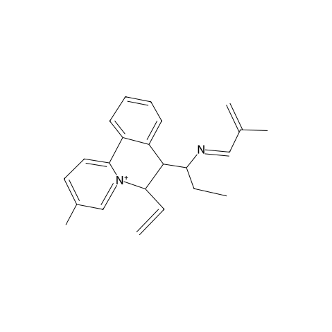 C=CC1C(C(CC)/N=C/C(=C)C)c2ccccc2-c2ccc(C)c[n+]21